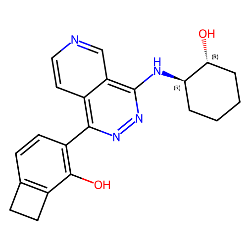 Oc1c(-c2nnc(N[C@@H]3CCCC[C@H]3O)c3cnccc23)ccc2c1CC2